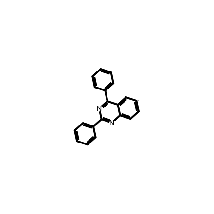 [c]1ccc2nc(-c3ccccc3)nc(-c3ccccc3)c2c1